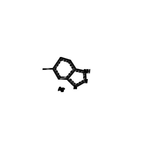 Cc1ccc2[nH]nnc2c1.[Ag]